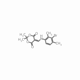 Cc1ccc(NC=C2C(=O)OC(C)(C)OC2=O)c(C)c1Br